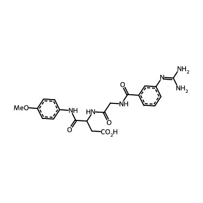 COc1ccc(NC(=O)C(CC(=O)O)NC(=O)CNC(=O)c2cccc(N=C(N)N)c2)cc1